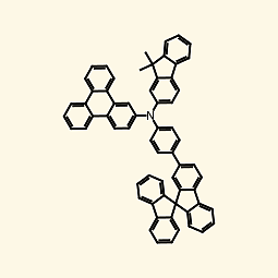 CC1(C)c2ccccc2-c2ccc(N(c3ccc(-c4ccc5c(c4)C4(c6ccccc6-c6ccccc64)c4ccccc4-5)cc3)c3ccc4c5ccccc5c5ccccc5c4c3)cc21